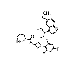 COc1ccc2nccc([C@@H](O)CC[C@H]3C(OC(=O)C4CCCNC4)C[C@H]3c3c(F)cc(F)cc3F)c2c1